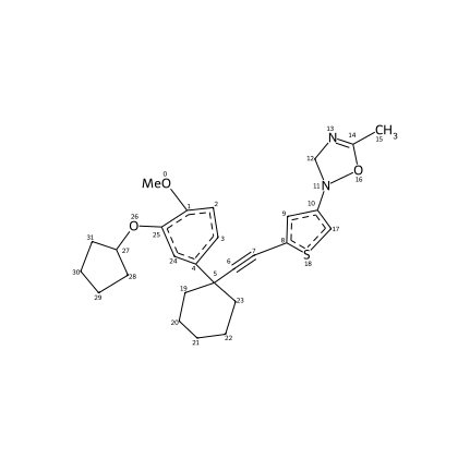 COc1ccc(C2(C#Cc3cc(N4CN=C(C)O4)cs3)CCCCC2)cc1OC1CCCC1